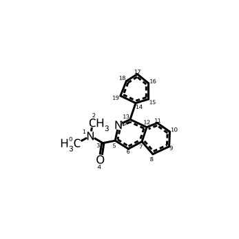 CN(C)C(=O)c1cc2ccccc2c(-c2ccccc2)n1